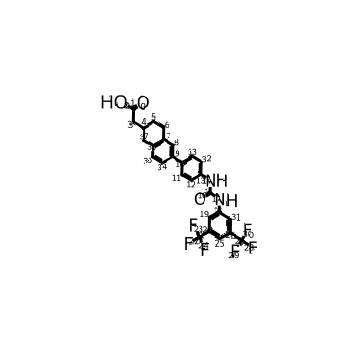 O=C(O)CC1CCc2cc(-c3ccc(NC(=O)Nc4cc(C(F)(F)F)cc(C(F)(F)F)c4)cc3)ccc2C1